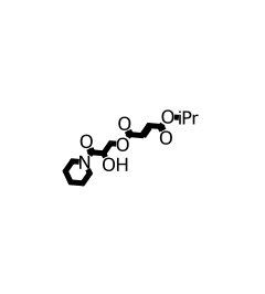 CC(C)OC(=O)/C=C/C(=O)OCC(O)C(=O)N1CCCCC1